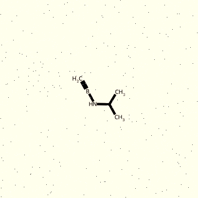 C=BNC(C)C